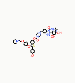 COc1ccc(-c2sc3cc(OC(=O)N4CCN(Cc5ccc(N(C(=N)c6cc(C(C)C)c(O)cc6O)C(N)=O)cc5)CC4)ccc3c2Oc2ccc(OCCN3CCCCC3)cc2)cc1